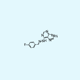 Fc1ccc(C=NNc2ncnc3[nH]cnc23)cc1